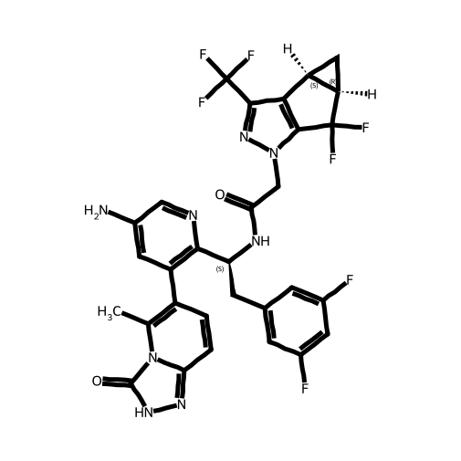 Cc1c(-c2cc(N)cnc2[C@H](Cc2cc(F)cc(F)c2)NC(=O)Cn2nc(C(F)(F)F)c3c2C(F)(F)[C@@H]2C[C@H]32)ccc2n[nH]c(=O)n12